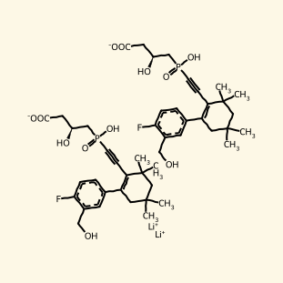 CC1(C)CC(c2ccc(F)c(CO)c2)=C(C#CP(=O)(O)C[C@@H](O)CC(=O)[O-])C(C)(C)C1.CC1(C)CC(c2ccc(F)c(CO)c2)=C(C#CP(=O)(O)C[C@@H](O)CC(=O)[O-])C(C)(C)C1.[Li+].[Li+]